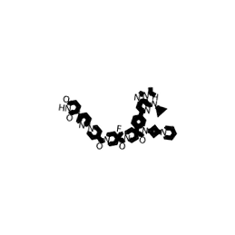 CC(C)n1cnc2cc(-c3ccc4c(c3)N(C3CC(N5CCCCC5)C3)C(=O)C43CCN(C(=O)C4(CF)CCN(C(=O)C5CCN(c6ccc([C@H]7CCC(=O)NC7=O)cn6)CC5)CC4)CC3)nc(NC3CC3)c21